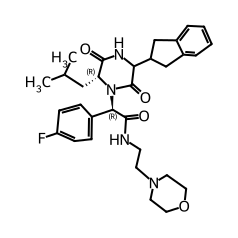 CC(C)C[C@@H]1C(=O)NC(C2Cc3ccccc3C2)C(=O)N1[C@@H](C(=O)NCCN1CCOCC1)c1ccc(F)cc1